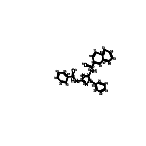 O=C(Nc1nc(NC(=O)c2ccc3ccccc3c2)n(-c2ccccc2)n1)c1ccccc1